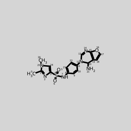 Cc1nc(S(=O)(=O)Nc2ccc(N3C=Nc4occc4C3N)cc2)cn1C